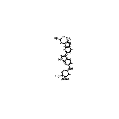 CC(=O)N[C@]1(C)CC[C@@H](Nc2ncc3c(-c4ccc5nc(C)n(CC(F)F)c5n4)c[nH]c3n2)CC1